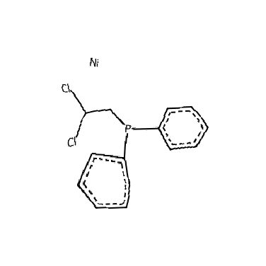 ClC(Cl)CP(c1ccccc1)c1ccccc1.[Ni]